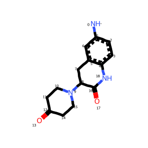 [NH]c1ccc2c(c1)CC(N1CCC(=O)CC1)C(=O)N2